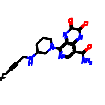 CC#CCN[C@H]1CCCN(c2ncc(C(N)=O)c3c2=NC(=O)C(=O)N=3)C1